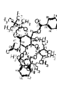 CC(C)[Si]1(C(C)C)OC2C(O[Si](C(C)C)(C(C)C)O1)[C@@](O)(COC(=O)c1ccccc1)[C@@H](O[Si](C)(C)C(C)(C)C)C(=O)[C@@]21CC(=O)N1OCc1ccccc1